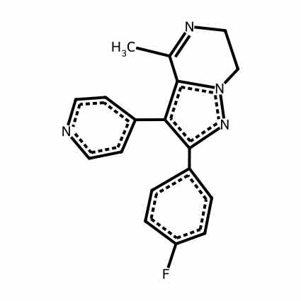 CC1=NCCn2nc(-c3ccc(F)cc3)c(-c3ccncc3)c21